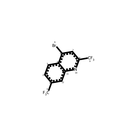 FC(F)(F)c1ccc2c(Br)cc(C(F)(F)F)nc2c1